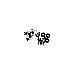 COCC(CCOCP(=O)(O)OC(C(=O)OC(C)(C)C)C(=O)OC(C)(C)C)n1cnc2c(NOC)nc(C(c3ccccc3)(c3ccccc3)c3ccccc3)nc21